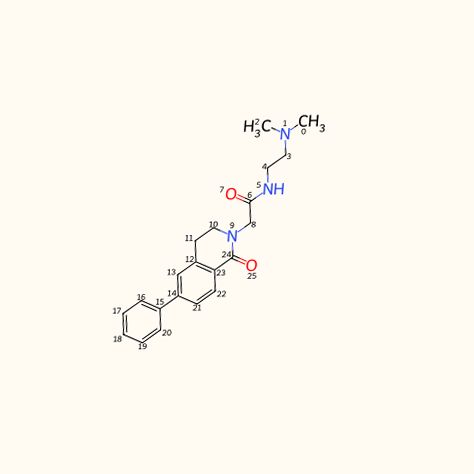 CN(C)CCNC(=O)CN1CCc2cc(-c3ccccc3)ccc2C1=O